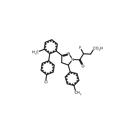 Cc1ccc(C2CC(c3cccc(C)c3-c3ccc(Cl)cc3)=NN2C(=O)C(F)CC(=O)O)cc1